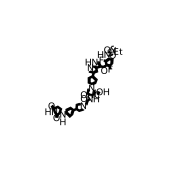 CCN(C)S(=O)(=O)Nc1ccc(F)c(C(=O)c2c[nH]c3ncc(-c4ccc(N5CCC(NC(=O)CN6CCC(c7ccc(NC8CCC(=O)NC8=O)cc7)CC6)CC5)cc4)cc23)c1F.O=CO